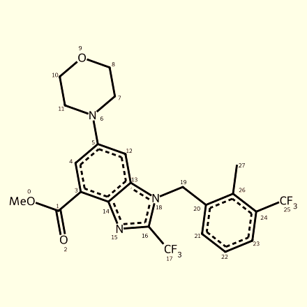 COC(=O)c1cc(N2CCOCC2)cc2c1nc(C(F)(F)F)n2Cc1cccc(C(F)(F)F)c1C